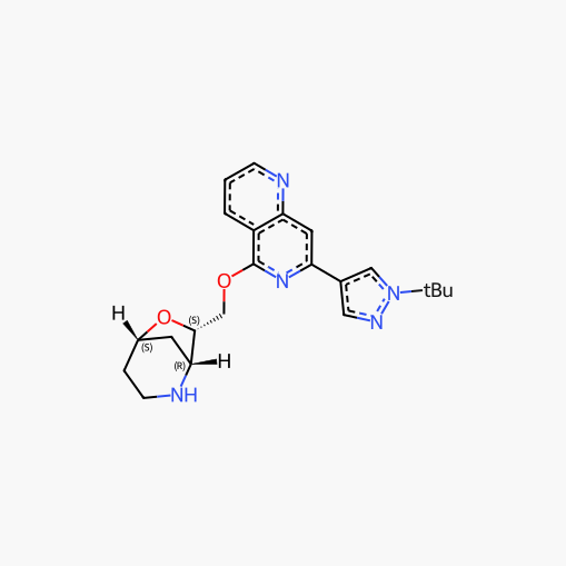 CC(C)(C)n1cc(-c2cc3ncccc3c(OC[C@H]3O[C@H]4CCN[C@@H]3C4)n2)cn1